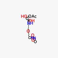 CC(=O)OCc1cc([C@@H](O)CNCCCCCCOCCCCc2cccc(N3C(=O)CN(Cc4ccccc4)C3=O)c2)ccc1O